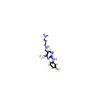 CN(C)CCCNCc1cnc(Nc2cccc(Cl)c2)nc1C(F)(F)F